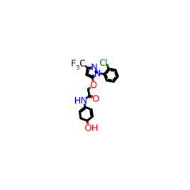 O=C(COc1cc(C(F)(F)F)nn1-c1ccccc1Cl)NC1=CCC(O)C=C1